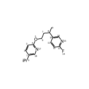 CC(C)c1ccc(OCCC(C)c2ccc(F)nc2)nc1